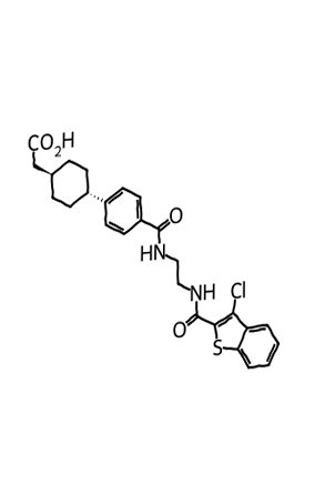 O=C(O)C[C@H]1CC[C@H](c2ccc(C(=O)NCCNC(=O)c3sc4ccccc4c3Cl)cc2)CC1